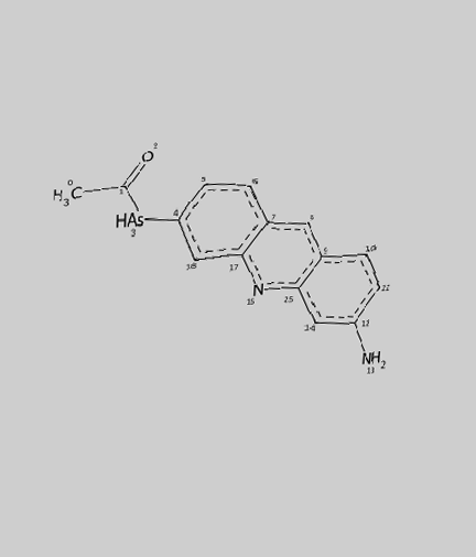 CC(=O)[AsH]c1ccc2cc3ccc(N)cc3nc2c1